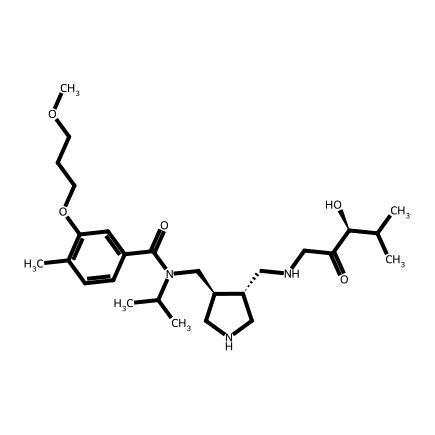 COCCCOc1cc(C(=O)N(C[C@@H]2CNC[C@H]2CNCC(=O)[C@@H](O)C(C)C)C(C)C)ccc1C